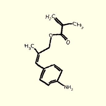 C=C(C)C(=O)OCC(C)=Cc1ccc(N)cc1